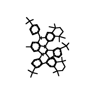 Cc1cc2c3c(c1)N(c1ccc(C(C)(C)C)cc1)c1cc4c(cc1B3C1=C(Cc3ccc(C(C)(C)C)cc31)N2c1ccc(C(C)(C)C)cc1-c1ccc2c(c1)C(C)(C)CCC2(C)C)C(C)(C)CCC4(C)C